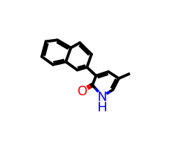 Cc1c[nH]c(=O)c(-c2ccc3ccccc3c2)c1